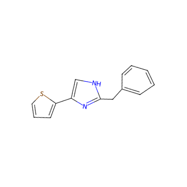 c1ccc(Cc2nc(-c3cccs3)c[nH]2)cc1